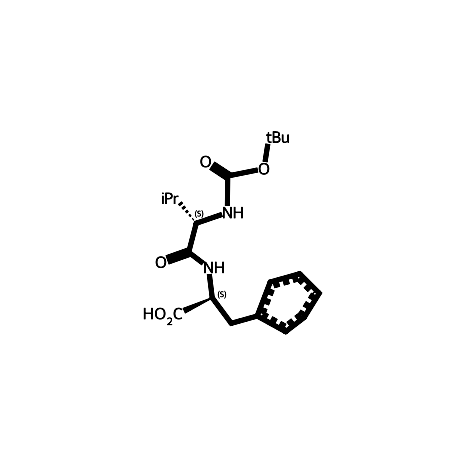 CC(C)[C@H](NC(=O)OC(C)(C)C)C(=O)N[C@@H](Cc1ccccc1)C(=O)O